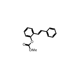 COC(=O)Oc1ccccc1C=Cc1ccccc1